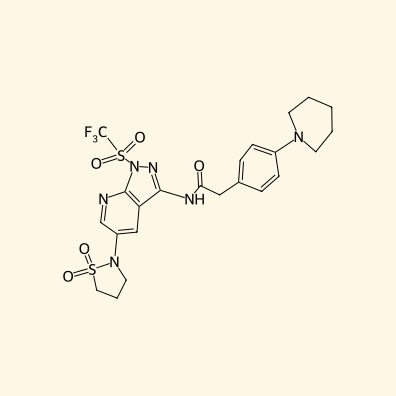 O=C(Cc1ccc(N2CCCCC2)cc1)Nc1nn(S(=O)(=O)C(F)(F)F)c2ncc(N3CCCS3(=O)=O)cc12